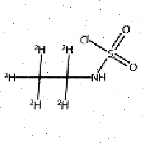 [2H]C([2H])([2H])C([2H])([2H])NS(=O)(=O)Cl